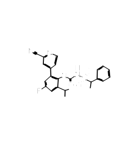 CC(C)c1cc(F)cc(-c2ccnc(C#N)c2)c1NC(=O)NS(=O)(=O)C(C)c1ccccc1